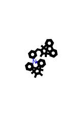 CC1=C(Cc2cccc(N3c4ccccc4C4(c5ccccc53)C(C)(C)C(C)=C(C)C4(C)C)c2)C(C)(C)C2(c3ccccc3-c3ccccc32)C1(C)C